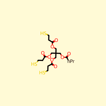 CCCC(=O)OCC(COC(=O)CCS)(COC(=O)CCS)COC(=O)CCS